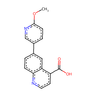 COc1ccc(-c2ccc3nccc(C(=O)O)c3c2)cn1